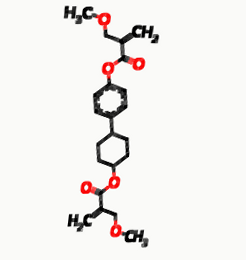 C=C(COC)C(=O)Oc1ccc(C2CCC(OC(=O)C(=C)COC)CC2)cc1